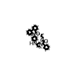 CCCOC(=O)C(c1ccccc1)N1CCC(Nc2ccc(NC(=O)c3ccccc3-c3ccccc3)cc2)C1